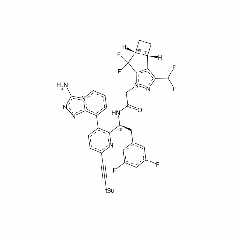 CC(C)(C)C#Cc1ccc(-c2cccn3c(N)nnc23)c([C@H](Cc2cc(F)cc(F)c2)NC(=O)Cn2nc(C(F)F)c3c2C(F)(F)[C@@H]2CC[C@H]32)n1